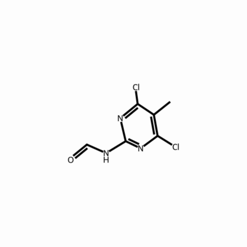 Cc1c(Cl)nc(NC=O)nc1Cl